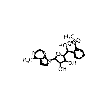 Cc1ncnc2c1ccn2C1OC(C(O)c2ccccc2S(C)(=O)=O)C(O)C1O